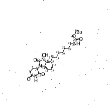 Cn1c(=O)n(C2CCC(=O)NC2=O)c2cccc(CCCCCCCNC(=O)OC(C)(C)C)c21